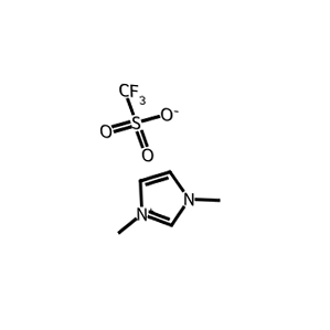 Cn1cc[n+](C)c1.O=S(=O)([O-])C(F)(F)F